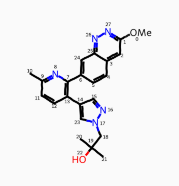 COc1cc2ccc(-c3nc(C)ccc3-c3cnn(CC(C)(C)O)c3)cc2nn1